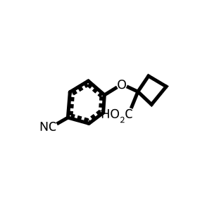 N#Cc1ccc(OC2(C(=O)O)CCC2)cc1